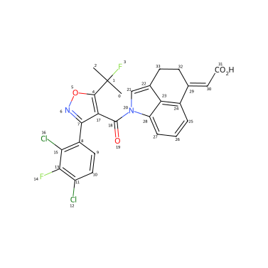 CC(C)(F)c1onc(-c2ccc(Cl)c(F)c2Cl)c1C(=O)n1cc2c3c(cccc31)/C(=C/C(=O)O)CC2